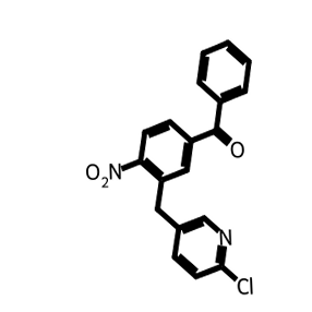 O=C(c1ccccc1)c1ccc([N+](=O)[O-])c(Cc2ccc(Cl)nc2)c1